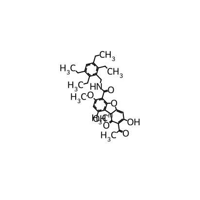 CCc1cc(CC)c(CC)c(CNC(=O)c2c(OC)cc(O)c3c2OC2=CC(O)=C(C(C)=O)C(=O)[C@]23C)c1CC